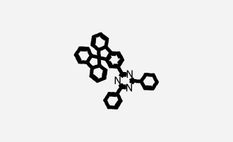 C1=CC2c3ccc(-c4nc(C5=CCCC=C5)nc(C5C=CCCC5)n4)cc3C3(C2C=C1)C1C=CC=CC1C1C=CC=CC13